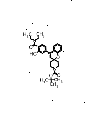 CCN(CC)C(=O)c1ccc(C2=CC3(CCN(C(=O)OC(C)(C)C)CC3)Oc3ccccc32)cc1O